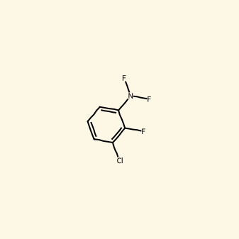 Fc1c(Cl)cccc1N(F)F